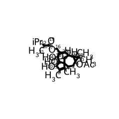 CC(=O)O[C@@]12CC(C)C34C=C(C)[C@H](O)[C@@]3(O)[C@H](O)C(COC(=O)C(C)C(C)C)=C[C@H](C4=O)[C@@H]1C2(C)C